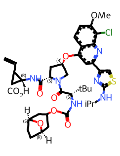 C=CC1C[C@]1(NC(=O)[C@@H]1C[C@@H](Oc2cc(-c3csc(NC(C)C)n3)nc3c(Cl)c(OC)ccc23)CN1C(=O)[C@@H](NC(=O)OC1C[C@H]2CC[C@@H](C1)O2)C(C)(C)C)C(=O)O